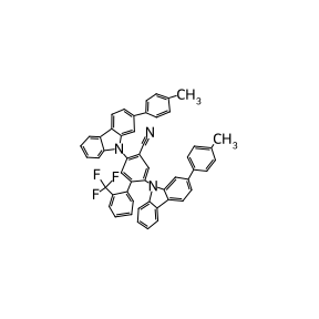 Cc1ccc(-c2ccc3c4ccccc4n(-c4cc(-c5ccccc5C(F)(F)F)c(-n5c6ccccc6c6ccc(-c7ccc(C)cc7)cc65)cc4C#N)c3c2)cc1